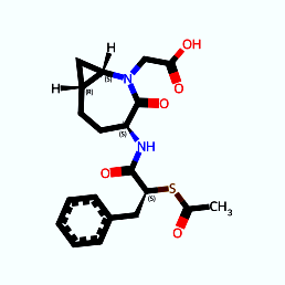 CC(=O)S[C@@H](Cc1ccccc1)C(=O)N[C@H]1CC[C@@H]2C[C@@H]2N(CC(=O)O)C1=O